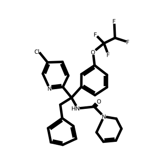 O=C(NC(Cc1ccccc1)(c1cccc(OC(F)(F)C(F)F)c1)c1ccc(Cl)cn1)N1CC=CCC1